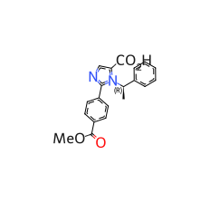 COC(=O)c1ccc(-c2ncc(C(=O)O)n2[C@H](C)c2ccccc2)cc1